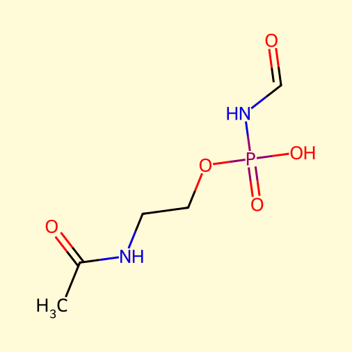 CC(=O)NCCOP(=O)(O)NC=O